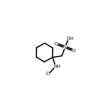 O=S(=O)(O)CC1(NCl)CCCCC1